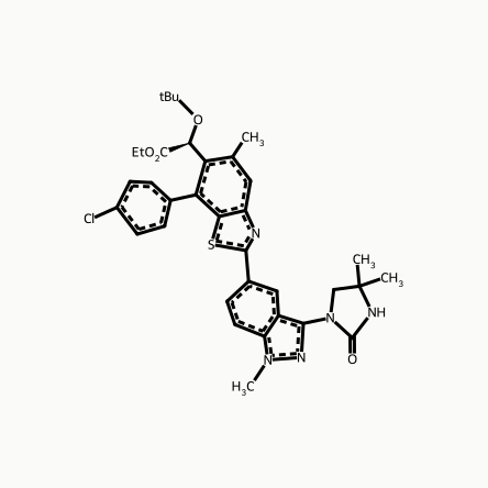 CCOC(=O)[C@@H](OC(C)(C)C)c1c(C)cc2nc(-c3ccc4c(c3)c(N3CC(C)(C)NC3=O)nn4C)sc2c1-c1ccc(Cl)cc1